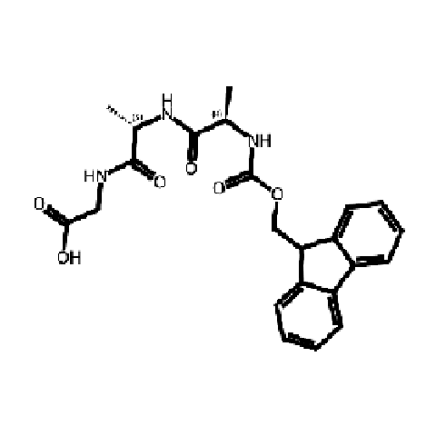 C[C@H](NC(=O)[C@@H](C)NC(=O)OCC1c2ccccc2-c2ccccc21)C(=O)NCC(=O)O